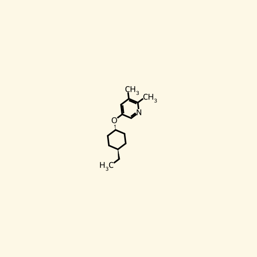 CC[C@H]1CC[C@H](Oc2cnc(C)c(C)c2)CC1